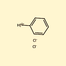 [Cl-].[Cl-].[Hf+2][c]1ccccc1